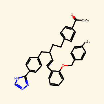 COC(=O)c1ccc(CCC(/C=C/c2ccccc2OCc2ccc(C(C)(C)C)cc2)Cc2ccc(-c3nnn[nH]3)cc2)cc1